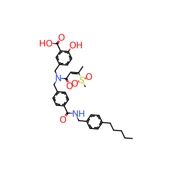 CCCCCc1ccc(CNC(=O)c2ccc(CN(Cc3ccc(O)c(C(=O)O)c3)C(=O)C=C(C)S(C)(=O)=O)cc2)cc1